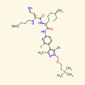 CCc1c(-c2ccc(NC(=O)[C@@H](NC(=O)/C(=C/C=N)NCCCOC)[C@H]3CC[C@H](C)CC3)nc2F)c(C)nn1COCCS(C)(C)C